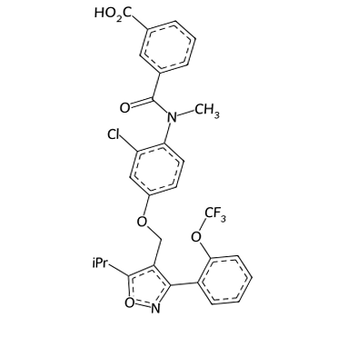 CC(C)c1onc(-c2ccccc2OC(F)(F)F)c1COc1ccc(N(C)C(=O)c2cccc(C(=O)O)c2)c(Cl)c1